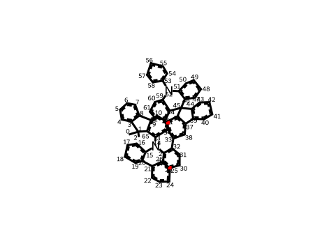 CC1(C)c2ccccc2-c2cccc(N(c3ccccc3-c3ccccc3)c3ccccc3-c3ccc4c(c3)-c3ccccc3C43c4ccccc4N(c4ccccc4)c4ccccc43)c21